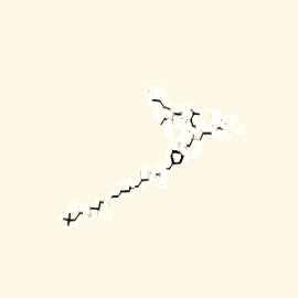 CC(=O)N[C@@H](CCCCN)C(=O)N[C@H](C(=O)N[C@@H](CCCNC(N)=O)C(=O)Nc1ccc(COC(=O)NCCCNCCCCNCCCNC(=O)CC(C)(C)C)cc1)C(C)C